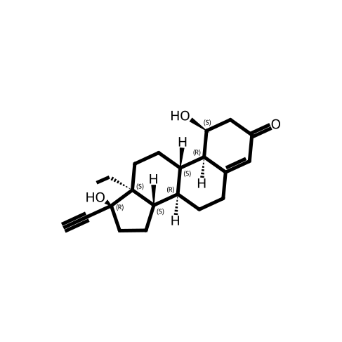 C#C[C@@]1(O)CC[C@H]2[C@@H]3CCC4=CC(=O)C[C@H](O)[C@@H]4[C@H]3CC[C@@]21CC